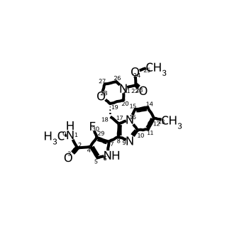 CNC(=O)c1c[nH]c(-c2nc3cc(C)ccn3c2C[C@H]2CN(C(=O)OC)CCO2)c1F